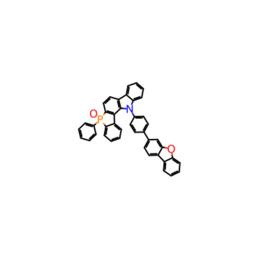 O=P1(c2ccccc2)c2ccccc2-c2c1ccc1c3ccccc3n(-c3ccc(-c4ccc5c(c4)oc4ccccc45)cc3)c21